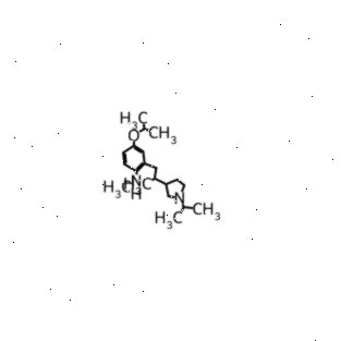 CNc1ccc(OC(C)C)cc1CC(C)C1CCN(C(C)C)C1